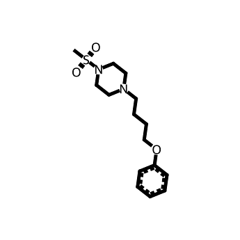 CS(=O)(=O)N1CCN(CCCCOc2ccccc2)CC1